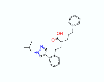 CC(C)Cn1cc(-c2ccccc2CCC(CCCc2ccccc2)C(=O)O)cn1